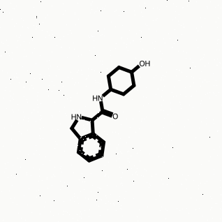 O=C(NC1CCC(O)CC1)C1NCc2ccccc21